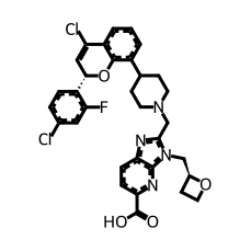 O=C(O)c1ccc2nc(CN3CCC(c4cccc5c4O[C@H](c4ccc(Cl)cc4F)C=C5Cl)CC3)n(C[C@@H]3CCO3)c2n1